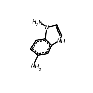 Nc1ccc2c(c1)NC=CN2N